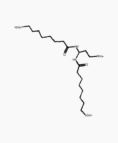 CCCCCCCCCCCCCCCCCC(=O)NC(CCNC)NC(=O)CCCCCCCCCCCCCCCCC